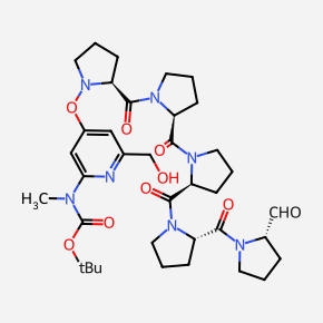 CN(C(=O)OC(C)(C)C)c1cc(ON2CCC[C@H]2C(=O)N2CCC[C@H]2C(=O)N2CCC[C@H]2C(=O)N2CCC[C@H]2C(=O)N2CCC[C@H]2C=O)cc(CO)n1